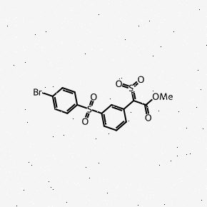 COC(=O)C(c1cccc(S(=O)(=O)c2ccc(Br)cc2)c1)=S(=O)=O